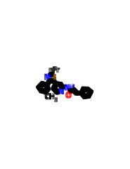 CCCc1nc(-c2cccc(C)c2)c(-c2ccnc(NC(=O)C=Cc3ccccc3)c2)s1